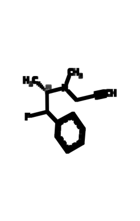 C#CCN(C)[C@@H](C)C(F)c1ccccc1